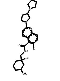 CC1CCCC(O)(CNC(=O)c2c(Cl)ccc3nc(N4CCC(N5CCCC5)C4)ccc23)C1